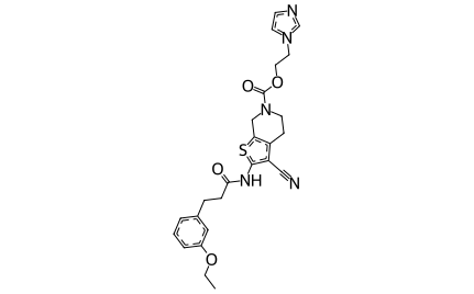 CCOc1cccc(CCC(=O)Nc2sc3c(c2C#N)CCN(C(=O)OCCn2ccnc2)C3)c1